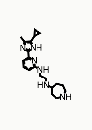 Cc1nc(-c2cccc(NCCNC3CCCNCC3)n2)[nH]c1C1CC1